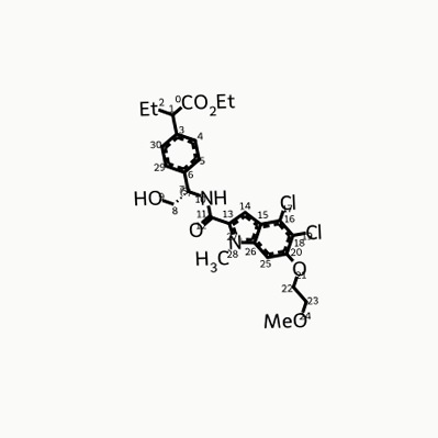 CCOC(=O)C(CC)c1ccc([C@@H](CO)NC(=O)c2cc3c(Cl)c(Cl)c(OCCOC)cc3n2C)cc1